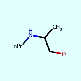 CCCNC(C)C[O]